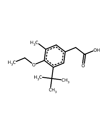 CCOc1c(C)cc(CC(=O)O)cc1C(C)(C)C